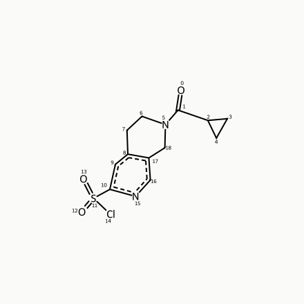 O=C(C1CC1)N1CCc2cc(S(=O)(=O)Cl)ncc2C1